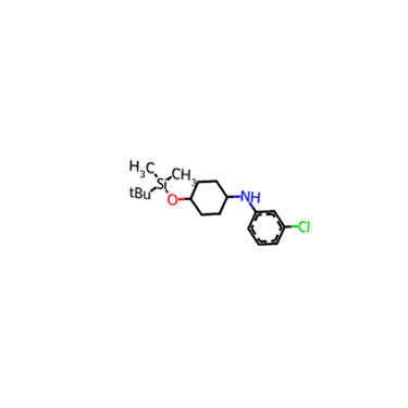 CC(C)(C)[Si](C)(C)OC1CCC(Nc2cccc(Cl)c2)CC1